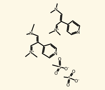 CN(C)C=C(C=[N+](C)C)c1ccncc1.CN(C)C=C(C=[N+](C)C)c1ccncc1.CS(=O)(=O)[O-].CS(=O)(=O)[O-]